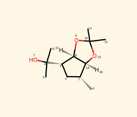 C[C@@H]1C[C@H](C(C)(C)O)[C@H]2OC(C)(C)O[C@H]21